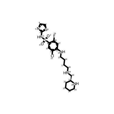 O=S(=O)(Nc1nccs1)c1cc(Cl)c(NCCCCNC[C@@H]2CCCCN2)cc1F